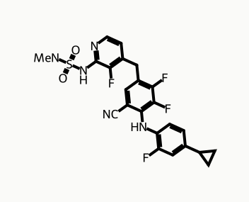 CNS(=O)(=O)Nc1nccc(Cc2cc(C#N)c(Nc3ccc(C4CC4)cc3F)c(F)c2F)c1F